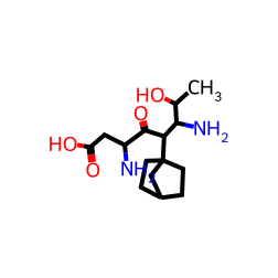 CC(O)C(N)C(C(=O)C(N)CC(=O)O)C12CCC(CC1)C2